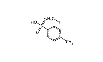 CI.Cc1ccc(S(=O)(=O)O)cc1